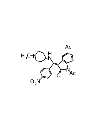 CC(=O)c1ccc2c(c1)C(=C(NC1CCN(C)CC1)c1ccc([N+](=O)[O-])cc1)C(=O)N2C(C)=O